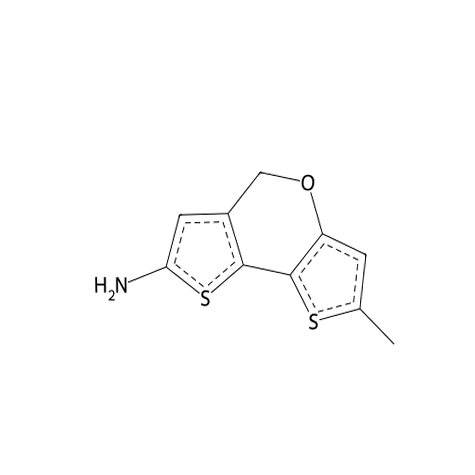 Cc1cc2c(s1)-c1sc(N)cc1CO2